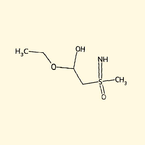 CCOC(O)CS(C)(=N)=O